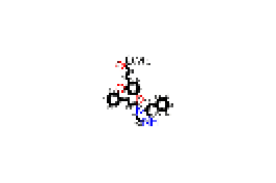 COC(=O)C=Cc1ccccc1Oc1ccccc1CCC(=O)N1CCNCC1Cc1ccccc1